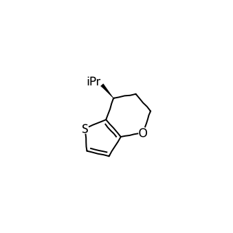 CC(C)[C@H]1CCOc2ccsc21